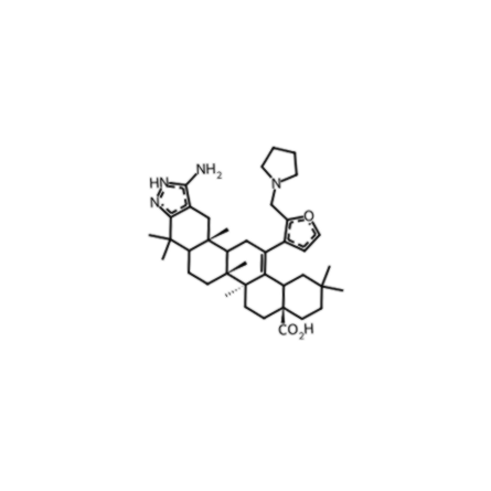 CC1(C)CC[C@]2(C(=O)O)CC[C@]3(C)C(=C(c4ccoc4CN4CCCC4)CC4[C@@]5(C)Cc6c(n[nH]c6N)C(C)(C)C5CC[C@]43C)C2C1